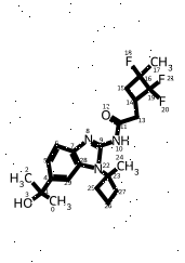 CC(C)(O)c1ccc2nc(NC(=O)CC3CC(C)(F)C3(F)F)n(C3(C)CCC3)c2c1